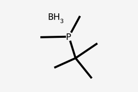 B.CP(C)C(C)(C)C